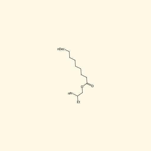 CCCCCCCCCCCCCCCCCC(=O)OCC(CC)CCC